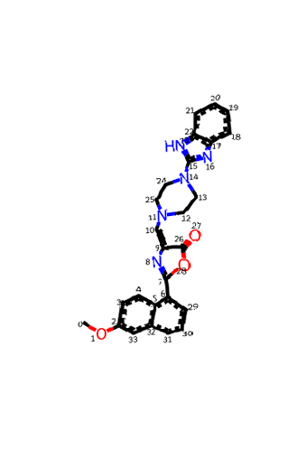 COc1ccc2c(C3=NC(=CN4CCN(c5nc6ccccc6[nH]5)CC4)C(=O)O3)cccc2c1